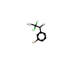 CCC(c1cccc(Br)c1)C([SiH3])(Cl)Cl